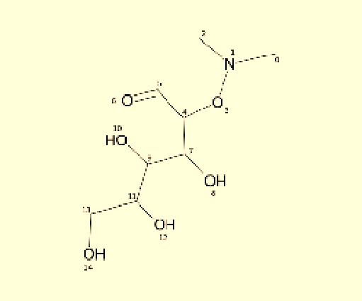 CN(C)OC(C=O)C(O)C(O)C(O)CO